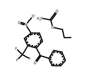 CCCOC(N)=O.O=C(c1ccccc1)c1ccc([N+](=O)[O-])cc1C(F)(F)F